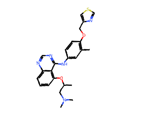 Cc1cc(Nc2ncnc3cccc(OC(C)CN(C)C)c23)ccc1OCc1cscn1